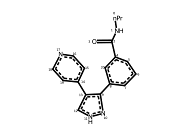 CCCNC(=O)c1cccc(-c2n[nH]cc2-c2ccncc2)c1